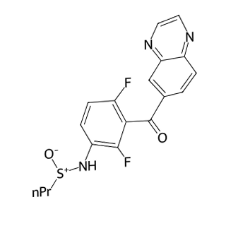 CCC[S+]([O-])Nc1ccc(F)c(C(=O)c2ccc3nccnc3c2)c1F